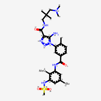 COc1c(NC(=O)c2ccc(C)c(-n3nnc(C(=O)NCC(C)(C)CN(C)C)c3N)c2)cc(C(C)(C)C)cc1NS(C)(=O)=O